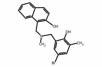 Cc1cc(Br)cc(CN(C)Cc2c(O)ccc3ccccc23)c1O